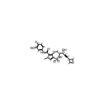 Cn1cc2c(c1C(=O)Nc1ccc(F)c(C#N)c1)OC[C@@H]([C@H](O)C#CC1COC1)NS2(=O)=O